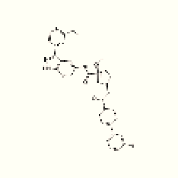 CCc1cc(-c2n[nH]c3ccc(NC(=O)[C@]4(OC)CCN(CC(=O)N5CC=C(c6cccc(F)c6)CC5)C4)cc23)ccn1